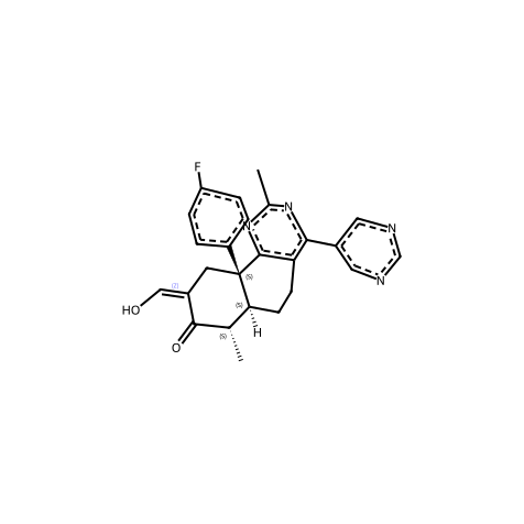 Cc1nc(-c2cncnc2)c2c(n1)[C@@]1(c3ccc(F)cc3)C/C(=C/O)C(=O)[C@@H](C)[C@@H]1CC2